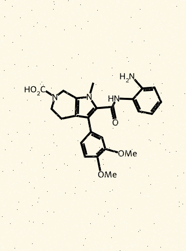 COc1ccc(-c2c3c(n(C)c2C(=O)Nc2ccccc2N)CN(C(=O)O)CC3)cc1OC